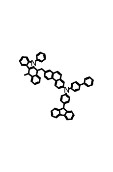 CC1c2ccccc2C(Cc2ccc3c(ccc4cc(N(c5ccc(-c6ccccc6)cc5)c5ccc(C6c7ccccc7-c7ccccc76)cc5)ccc43)c2)c2c1c1ccccc1n2-c1ccccc1